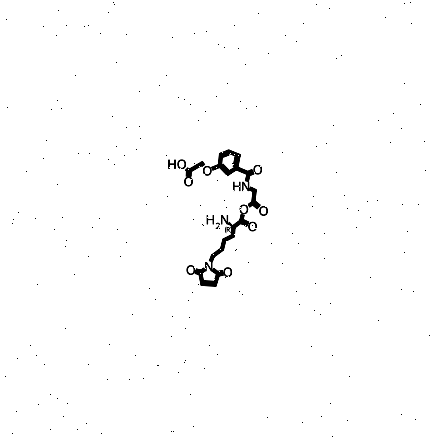 N[C@H](CCCCN1C(=O)C=CC1=O)C(=O)OC(=O)CNC(=O)c1cccc(OCC(=O)O)c1